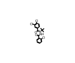 CC(C)(C)N(NC(=O)c1ccccc1Cl)C(=O)c1ccc(Cl)c(Cl)c1